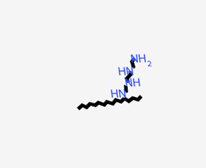 CCCCCCCCCCCC(CCCC)NCCNCCNCCN